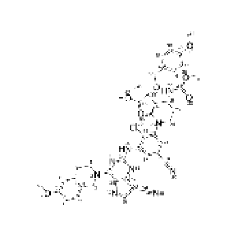 CCN(Cc1ccc(OC)cc1)c1nc(Nc2cc(C#N)cc(N3CC[C@@H](NC(=O)OC)[C@H]([C@](C)(OCc4ccc(OC)cc4)C(=O)O)C3)c2Cl)nn2c(C#N)cnc12